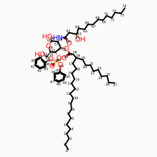 CCCCCCCCCCCCCCCCCCC(CCCCCCCCC)CC(=O)O[C@H]1[C@H](OP(=O)(Oc2ccccc2)Oc2ccccc2)[C@@H](CO)OC(O)[C@@H]1NC(=O)C[C@H](O)CCCCCCCCCCC